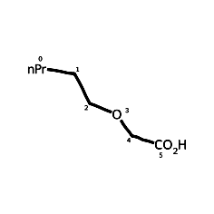 [CH2]CCCCOCC(=O)O